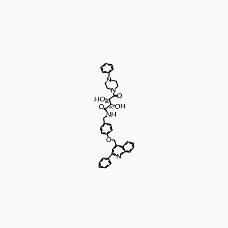 O=C(NCc1ccc(OCc2cc(-c3ccccc3)nc3ccccc23)cc1)[C@H](O)[C@@H](O)C(=O)N1CCN(c2ccccc2)CC1